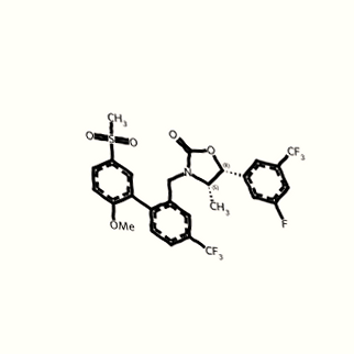 COc1ccc(S(C)(=O)=O)cc1-c1ccc(C(F)(F)F)cc1CN1C(=O)O[C@H](c2cc(F)cc(C(F)(F)F)c2)[C@@H]1C